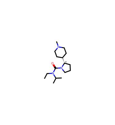 CCN(C(=O)N1CCC[C@H]1C1CCN(C)CC1)C(C)C